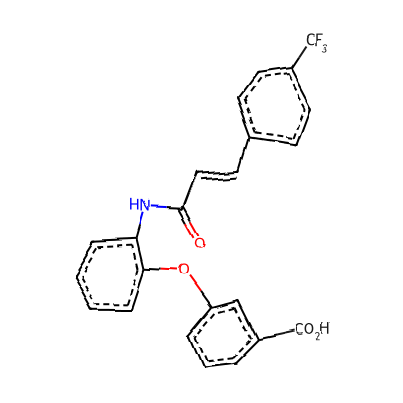 O=C(/C=C/c1ccc(C(F)(F)F)cc1)Nc1ccccc1Oc1cccc(C(=O)O)c1